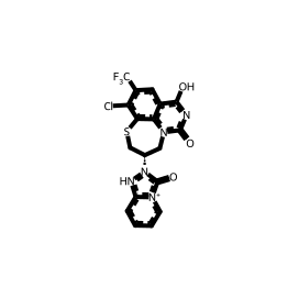 O=c1nc(O)c2cc(C(F)(F)F)c(Cl)c3c2n1C[C@H](n1[nH]c2cccc[n+]2c1=O)CS3